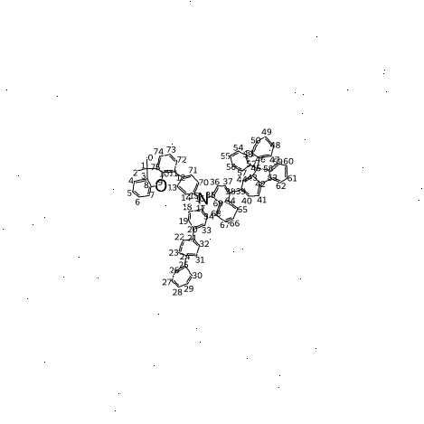 CC1(C)c2ccccc2Oc2c(-c3ccc(N(c4ccc(-c5ccc(-c6ccccc6)cc5)cc4)c4ccc(-c5ccc6c(c5)C(c5ccccc5)(c5ccccc5)c5ccccc5-6)c5ccccc45)cc3)cccc21